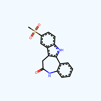 CS(=O)(=O)c1ccc2[nH]c3c(c2c1)CC(=O)Nc1ccccc1-3